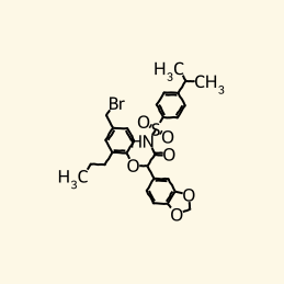 CCCc1cc(CBr)ccc1OC(C(=O)NS(=O)(=O)c1ccc(C(C)C)cc1)c1ccc2c(c1)OCO2